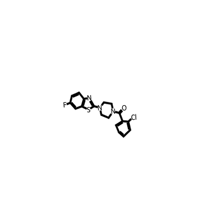 O=C(c1ccccc1Cl)N1CCN(c2nc3ccc(F)cc3s2)CC1